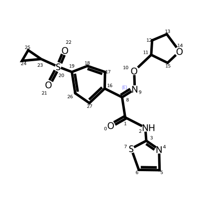 O=C(Nc1nccs1)/C(=N/OC1CCOC1)c1ccc(S(=O)(=O)C2CC2)cc1